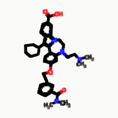 CN(C)CCN1CCn2c(c(C3CCCCC3)c3ccc(C(=O)O)cc32)-c2ccc(OCc3cccc(C(=O)N(C)C)c3)cc21